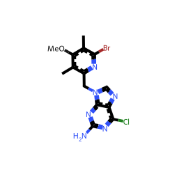 COc1c(C)c(Br)nc(Cn2cnc3c(Cl)nc(N)nc32)c1C